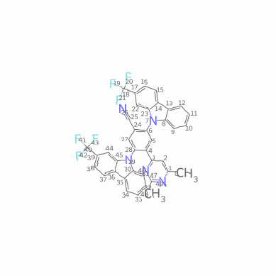 Cc1cc(-c2cc(-n3c4ccccc4c4ccc(C(F)(F)F)cc43)c(C#N)cc2-n2c3ccccc3c3ccc(C(F)(F)F)cc32)nc(C)n1